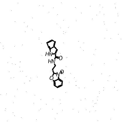 O=C(NCCC1Oc2ccccc2[N+]1=O)c1cc2ccccc2[nH]1